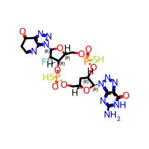 Nc1nc2c(nnn2[C@@H]2O[C@@H]3COP(=O)(S)O[C@H]4[C@H](F)[C@H](n5nnc6c5N=CCC6=O)O[C@@H]4COP(=O)(S)O[C@@H]2C3)c(=O)[nH]1